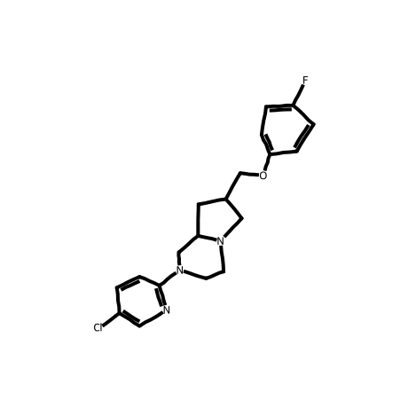 Fc1ccc(OCC2CC3CN(c4ccc(Cl)cn4)CCN3C2)cc1